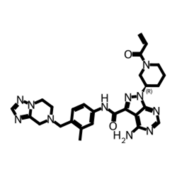 C=CC(=O)N1CCC[C@@H](n2nc(C(=O)Nc3ccc(CN4CCn5ncnc5C4)c(C)c3)c3c(N)ncnc32)C1